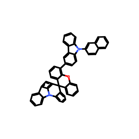 c1ccc2c(c1)Oc1c(-c3ccc4c(c3)c3ccccc3n4-c3ccc4ccccc4c3)cccc1C21c2ccccc2-n2c3ccccc3c3cccc1c32